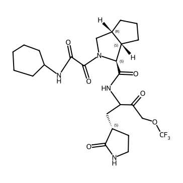 O=C(NC1CCCCC1)C(=O)N1C[C@@H]2CCC[C@@H]2[C@H]1C(=O)NC(C[C@@H]1CCNC1=O)C(=O)COC(F)(F)F